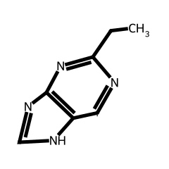 CCc1n[c]c2[nH]cnc2n1